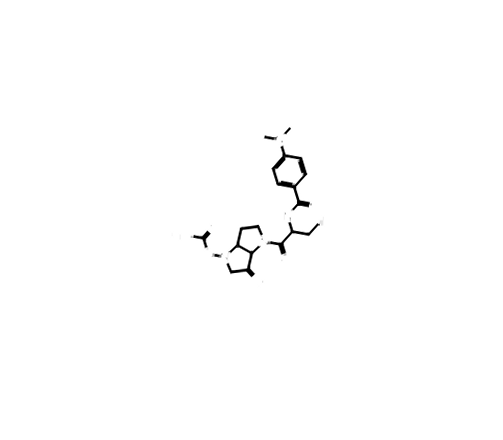 CC(C)COC(=O)ON1CC(=O)C2C1CCN2C(=O)C(CC(C)C)NC(=O)c1ccc(N(C)C)cc1